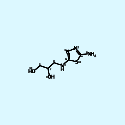 Nc1nnc(NCC(O)CO)s1